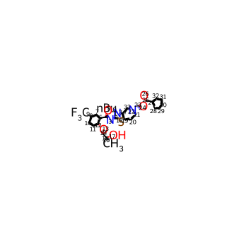 CCCCn1c(=NC(=O)c2cc(C(F)(F)F)ccc2OC[C@H](C)O)sc2cc[n+](COC(=O)c3ccccc3)cc21